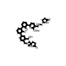 COc1nc(-c2cccc(-c3cccc(-c4ccc(CN5CC6(CCC(=O)N6)C5)c(CO)c4)c3Cl)c2Cl)ccc1CNC[C@@H]1CCC(=O)N1